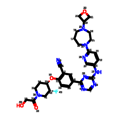 N#Cc1cc(-c2ncnc(Nc3ccc(N4CCCN(C5COC5)CC4)nc3)n2)ccc1O[C@H]1CCN(C(=O)CO)C[C@H]1F